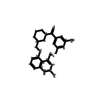 Cc1cc(C(=O)N2CCCC(COc3cccc4c3C(N)=N[S+]([O-])N4)C2)cc(O)n1